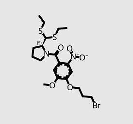 CCSC(SCC)[C@@H]1CCCN1C(=O)c1cc(OC)c(OCCCBr)cc1[N+](=O)[O-]